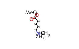 COOC(=O)CCCCN(C)C